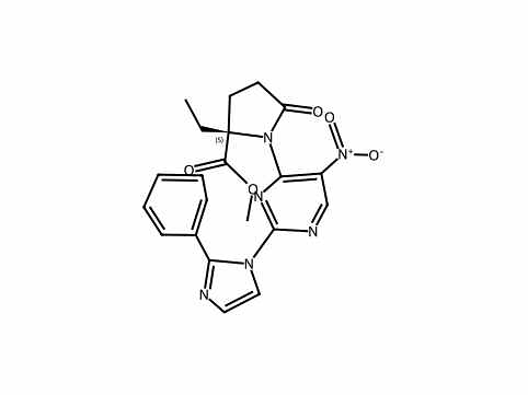 CC[C@@]1(C(=O)OC)CCC(=O)N1c1nc(-n2ccnc2-c2ccccc2)ncc1[N+](=O)[O-]